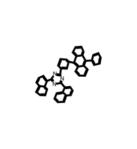 c1ccc(-c2c3ccccc3c(-c3cccc(-c4nc(-c5cccc6ccccc56)nc(-c5cccc6ccccc56)n4)c3)c3ccccc23)cc1